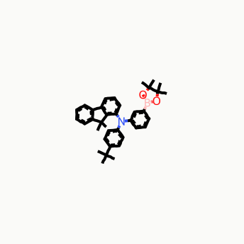 CC(C)(C)c1ccc(N(c2cccc(B3OC(C)(C)C(C)(C)O3)c2)c2cccc3c2C(C)(C)c2ccccc2-3)cc1